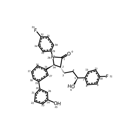 O=C1[C@H](CC[C@H](O)c2ccc(F)cc2)[C@@H](c2cccc(-c3cccc(O)c3)c2)N1c1ccc(F)cc1